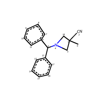 CC1(C#N)CN(C(c2ccccc2)c2ccccc2)C1